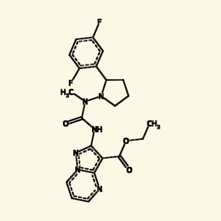 CCOC(=O)c1c(NC(=O)N(C)N2CCCC2c2cc(F)ccc2F)nn2cccnc12